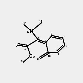 C=C(OC)/C(=c1/ccccc1=C)N(C)C